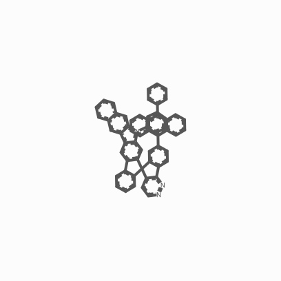 c1ccc(-c2c3ccccc3c(-c3ccc4c(c3)C3(c5ccccc5-c5cc6c7cc8ccccc8cc7n(-c7ccccc7)c6cc53)c3ccnnc3-4)c3ccccc23)cc1